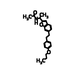 CCCOc1ccc(CCc2ccc3cc(C(C)NC(C)=O)oc3c2)cc1